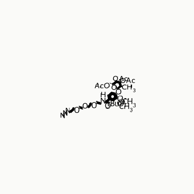 CC(=O)OC[C@H]1O[C@@H](Oc2ccc(C(=O)NCCOCCOCCOCCN=[N+]=[N-])cc2O[Si](C)(C)C(C)(C)C)[C@H](C)[C@@H](OC(C)=O)[C@H]1OC(C)=O